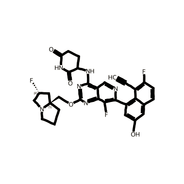 C#Cc1c(F)ccc2cc(O)cc(-c3ncc4c(NC5CCC(=O)NC5=O)nc(OC[C@@]56CCCN5C[C@H](F)C6)nc4c3F)c12